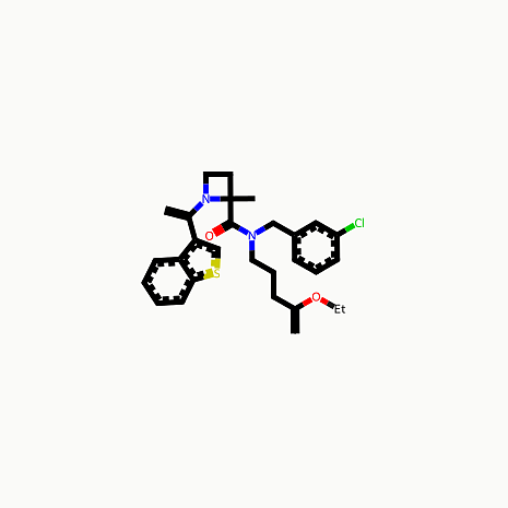 C=C(CCCN(Cc1cccc(Cl)c1)C(=O)C1(C)CCN1C(=C)c1csc2ccccc12)OCC